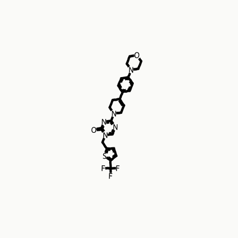 O=c1nc(N2CC=C(c3ccc(N4CCOCC4)cc3)CC2)ncn1Cc1ccc(C(F)(F)F)s1